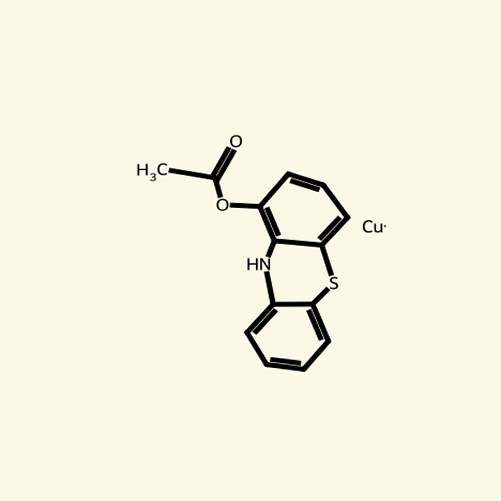 CC(=O)Oc1cccc2c1Nc1ccccc1S2.[Cu]